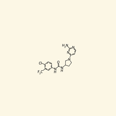 Nc1nccc(N2CCC(NC(=O)Nc3ccc(Cl)c(C(F)(F)F)c3)C2)n1